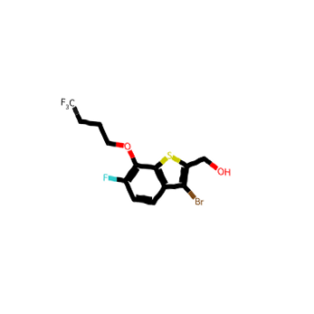 OCc1sc2c(OCCCC(F)(F)F)c(F)ccc2c1Br